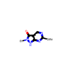 CCn1[nH]c2nc(SC)ncc2c1=O